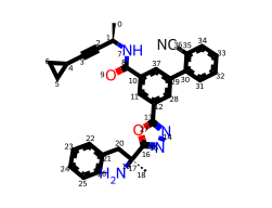 C[C@H](C#CC1CC1)NC(=O)c1cc(-c2nnc([C@@](C)(N)Cc3ccccc3)o2)cc(-c2ccccc2C#N)c1